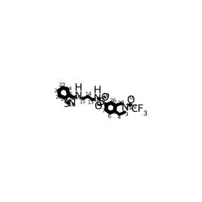 O=C(N1CCc2ccc(S(=O)(=O)NCCCNc3nsc4ccccc34)cc2C1)C(F)(F)F